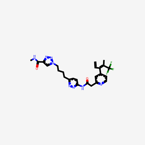 C=C/C(=C(\C)C(F)(F)F)c1ccnc(CC(=O)Nc2ccc(CCCCn3cc(C(=O)NC)nn3)nn2)c1